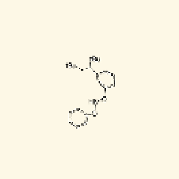 CC(C)(C)CC(c1cccc(ONOc2ccccc2)c1)C(C)(C)C